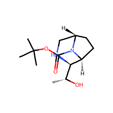 C[C@@H](O)[C@H]1NC[C@@H]2CC[C@@H]1N2C(=O)OC(C)(C)C